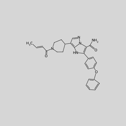 CC=CC(=O)N1CCC(c2cnn3c(C(N)=O)c(-c4ccc(Oc5ccccc5)cc4)[nH]c23)CC1